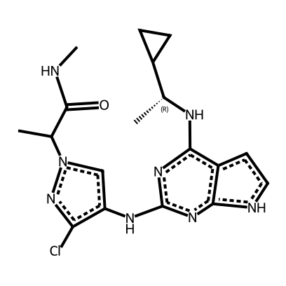 CNC(=O)C(C)n1cc(Nc2nc(N[C@H](C)C3CC3)c3cc[nH]c3n2)c(Cl)n1